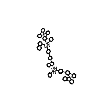 c1ccc(-c2nc(-c3ccc(-c4ccc5c(c4)C4(c6ccccc6-c6ccccc64)c4ccccc4-5)cc3)nc(-c3ccc(-c4ccc(-c5ccc(-c6nc(-c7ccccc7-c7cccc8c7-c7ccccc7C87c8ccccc8-c8ccccc87)nc(-c7cccc8ccccc78)n6)cc5)cc4)c4ccccc34)n2)cc1